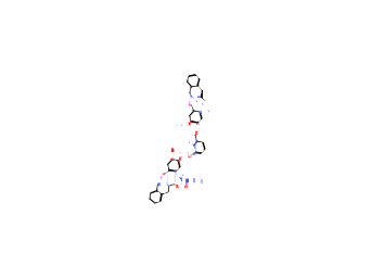 CNN1c2cc(OCc3cccc(COc4cc5c(cc4OC)C(=O)N4Cc6ccccc6C[C@H]4CN5)n3)c(OC)cc2C(=O)N2Cc3ccccc3CC2C1O